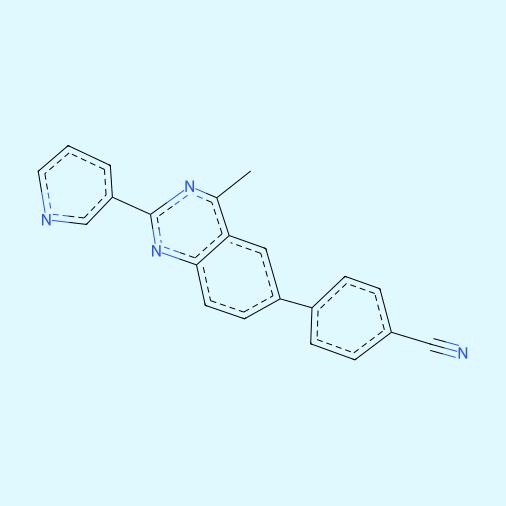 Cc1nc(-c2cccnc2)nc2ccc(-c3ccc(C#N)cc3)cc12